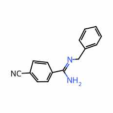 N#Cc1ccc(/C(N)=N/Cc2ccccc2)cc1